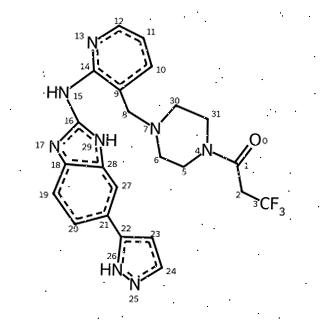 O=C(CC(F)(F)F)N1CCN(Cc2cccnc2Nc2nc3ccc(-c4ccn[nH]4)cc3[nH]2)CC1